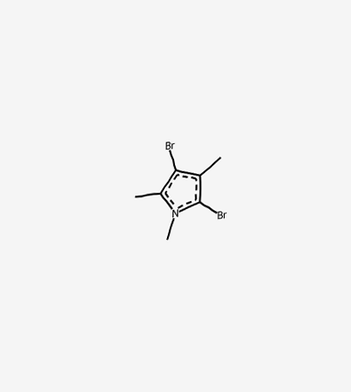 Cc1c(Br)c(C)n(C)c1Br